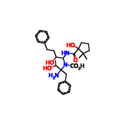 CC(O)C(N)(Cc1ccccc1)N(C(=O)O)C(NC(=O)C1(O)CCCC1(C)C)C(O)CCc1ccccc1